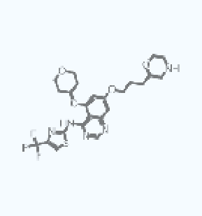 FC(F)(F)c1csc(Nc2ncnc3cc(OCCCC4CNCCO4)cc(OC4CCOCC4)c23)n1